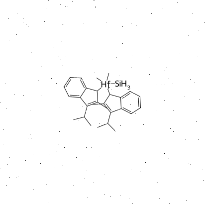 CC1=C(C(C)C)c2ccccc2[CH]1[Hf]([CH3])([CH3])([SiH3])[CH]1C(C)=C(C(C)C)c2ccccc21